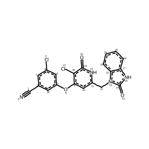 N#Cc1cc(Cl)cc(Oc2cc(Cn3c(=O)[nH]c4ccccc43)[nH]c(=O)c2Cl)c1